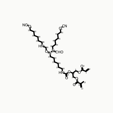 C=CC(=O)OCC(COC(=O)C(=C)C)OC(=O)NCCCCCCN(OCNCCCCCCOC#N)N(C=O)CCCCCCOC#N